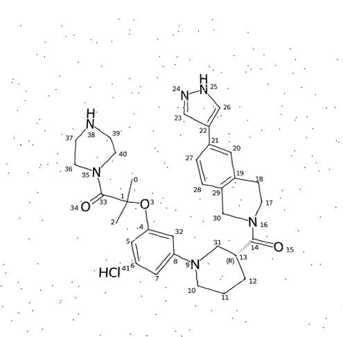 CC(C)(Oc1cccc(N2CCC[C@@H](C(=O)N3CCc4cc(-c5cn[nH]c5)ccc4C3)C2)c1)C(=O)N1CCNCC1.Cl